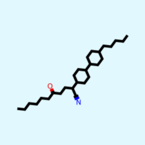 CCCCCCC(=O)CCC(C#N)C1CCC(C2CCC(CCCCC)CC2)CC1